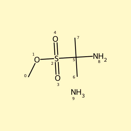 COS(=O)(=O)C(C)(C)N.N